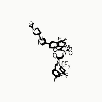 O=C1N[C@]2(CC(F)(F)c3cc(-c4cnn(C5CCN(C6COC6)CC5)c4)ccc32)C(=O)N1CC(=O)N(Cc1ccc(F)cc1)C1(C(F)(F)F)CC(F)(F)C1